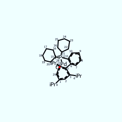 CC(C)c1cc(C(C)C)c(-c2ccccc2[PH]([Pd][Cl])(C2CCCCC2)C2CCCCC2)c(C(C)C)c1